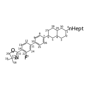 CCCCCCCC1CCC2CC(c3ccc(-c4ccc(C5=NC(C)(C)CO5)c(F)c4)cc3)CCC2C1